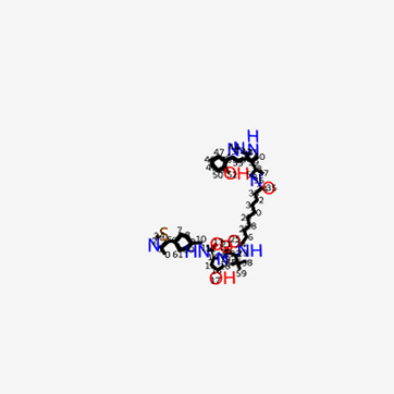 Cc1ncsc1-c1ccc(CNC(=O)[C@@H]2C[C@@H](O)CN2C(=O)[C@@H](NC(=O)CCCCCCCCC(=O)N2CC(c3c[nH]c4nnc(-c5ccccc5O)cc34)C2)C(C)(C)C)cc1